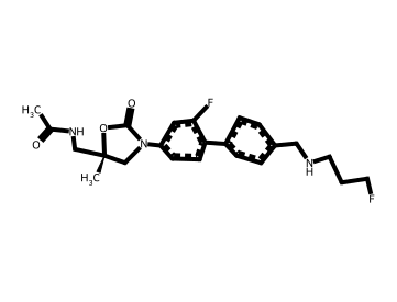 CC(=O)NC[C@@]1(C)CN(c2ccc(-c3ccc(CNCCCF)cc3)c(F)c2)C(=O)O1